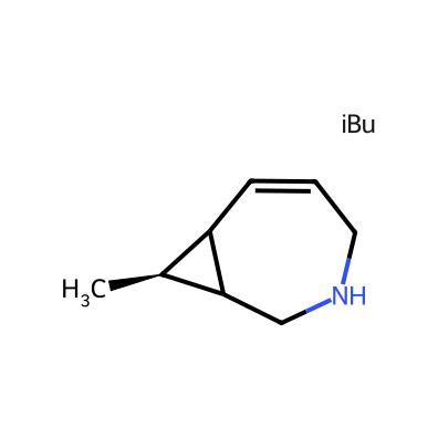 CC[C@H](C)C1=CC2C(CNC1)[C@H]2C